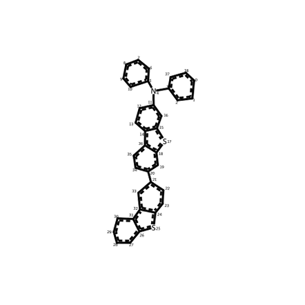 c1ccc(N(c2ccccc2)c2ccc3c(c2)sc2cc(-c4ccc5sc6ccccc6c5c4)ccc23)cc1